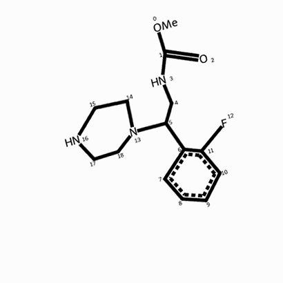 COC(=O)NCC(c1ccccc1F)N1CCNCC1